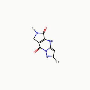 CCc1cc2[nH]c3c(c(=O)n2n1)CN(CC)C3=O